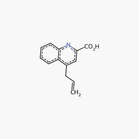 C=CCc1cc(C(=O)O)nc2ccccc12